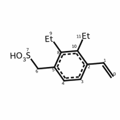 C=Cc1ccc(CS(=O)(=O)O)c(CC)c1CC